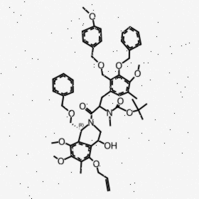 C=CCOc1c(C)c(OC)c(OC)c2c1C(O)CN(C(=O)C(Cc1cc(C)c(OC)c(OCc3ccccc3)c1COCc1ccc(OC)cc1)N(C)C(=O)OC(C)(C)C)[C@H]2COCc1ccccc1